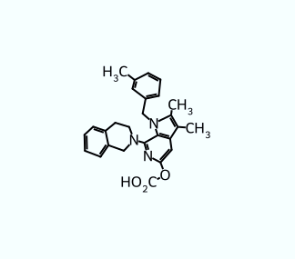 Cc1cccc(Cn2c(C)c(C)c3cc(OC(=O)O)nc(N4CCc5ccccc5C4)c32)c1